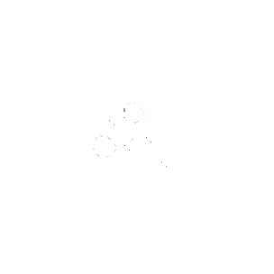 Clc1ccc2c(c1)N=C(NCC1CCCN1)c1ccccc1N2